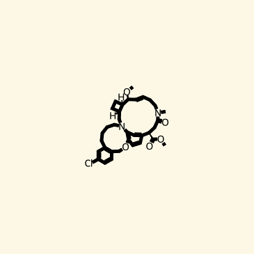 COC(=O)[C@@H]1CC(=O)N(C)CC/C=C/[C@H](OC)[C@@H]2CC[C@H]2CN2CCCCc3cc(Cl)ccc3COc3ccc1cc32